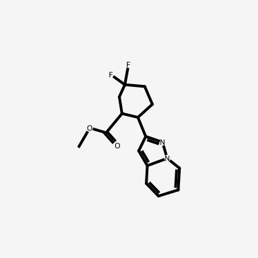 COC(=O)C1CC(F)(F)CCC1c1cc2ccccn2n1